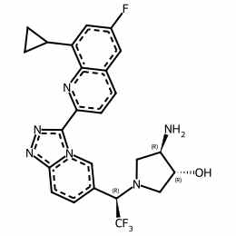 N[C@@H]1CN([C@H](c2ccc3nnc(-c4ccc5cc(F)cc(C6CC6)c5n4)n3c2)C(F)(F)F)C[C@H]1O